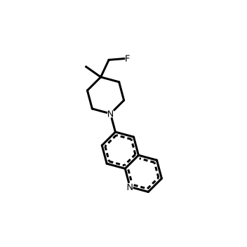 CC1(CF)CCN(c2ccc3ncccc3c2)CC1